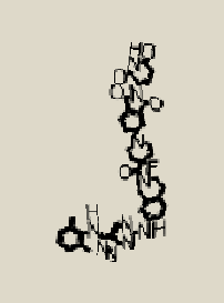 Cc1cccc(C)c1Nc1nn(C)c2nc(Nc3ccc4c(c3)CN(C(=O)C3(F)CCN(c5ccc6c(c5)C(=O)N(C5CCC(=O)NC5=O)C6=O)CC3)CC4)ncc12